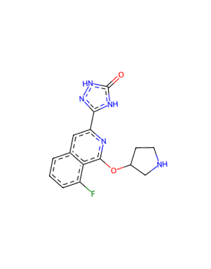 O=c1[nH]nc(-c2cc3cccc(F)c3c(OC3CCNC3)n2)[nH]1